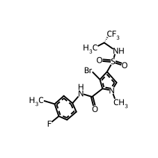 Cc1cc(NC(=O)c2c(Br)c(S(=O)(=O)N[C@H](C)C(F)(F)F)cn2C)ccc1F